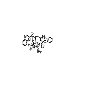 CC(C)C[C@H](NC(=O)C1(Cc2ccccc2)CC(CNC(=O)c2cnc3ccccc3n2)=NO1)B(O)O